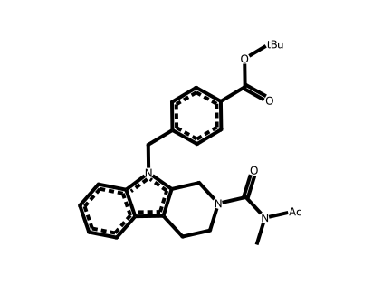 CC(=O)N(C)C(=O)N1CCc2c(n(Cc3ccc(C(=O)OC(C)(C)C)cc3)c3ccccc23)C1